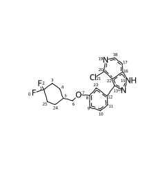 FC1(F)CCC(COc2cccc(-c3n[nH]c4ccnc(Cl)c34)c2)CC1